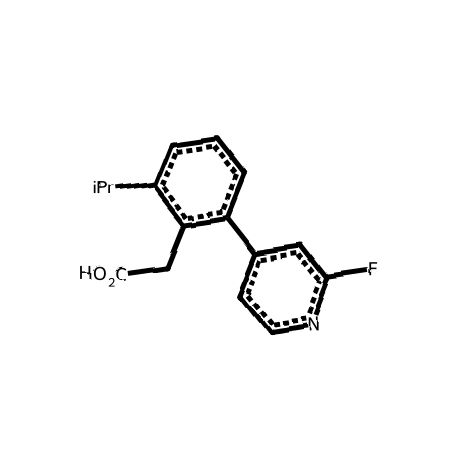 CC(C)c1cccc(-c2ccnc(F)c2)c1CC(=O)O